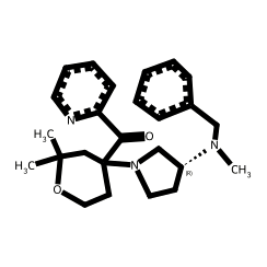 CN(Cc1ccccc1)[C@@H]1CCN(C2(C(=O)c3ccccn3)CCOC(C)(C)C2)C1